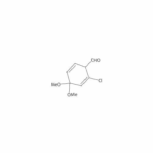 COC1(OC)C=CC(C=O)C(Cl)=C1